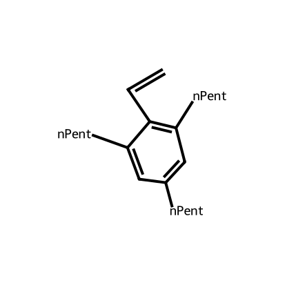 C=Cc1c(CCCCC)cc(CCCCC)cc1CCCCC